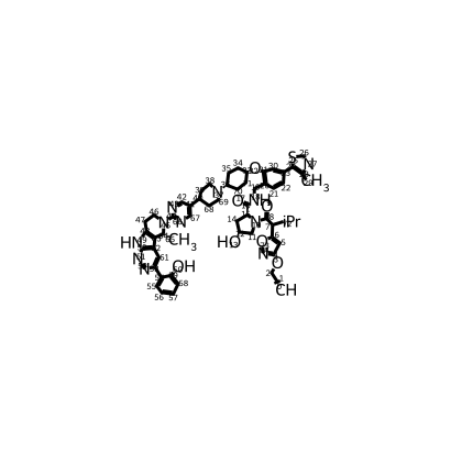 C#CCOc1cc(C(C(=O)N2C[C@H](O)C[C@H]2C(=O)NCc2ccc(-c3scnc3C)cc2O[C@H]2CC[C@@H](N3CCC(c4cnc(N5CCc6[nH]c7nnc(-c8ccccc8O)cc7c6[C@H]5C)nc4)CC3)CC2)C(C)C)on1